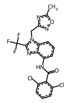 Cc1nc(Cn2c(C(F)(F)F)nc3c(NC(=O)c4c(Cl)cccc4Cl)cccc32)no1